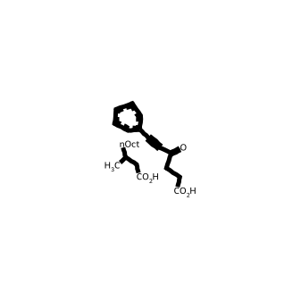 CCCCCCCCC(C)CC(=O)O.O=C(O)CCC(=O)C#Cc1ccccc1